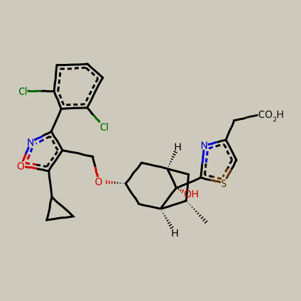 C[C@H]1C[C@@H]2C[C@@H](OCc3c(-c4c(Cl)cccc4Cl)noc3C3CC3)C[C@H]1[C@]2(O)c1nc(CC(=O)O)cs1